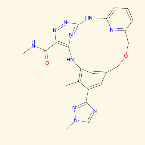 CNC(=O)c1nnc2nc1Nc1cc(cc(-c3ncn(C)n3)c1C)COCc1cccc(n1)N2